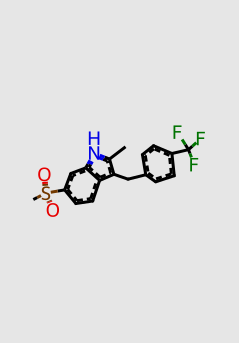 Cc1[nH]c2cc(S(C)(=O)=O)ccc2c1Cc1ccc(C(F)(F)F)cc1